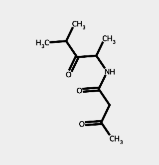 CC(=O)CC(=O)NC(C)C(=O)C(C)C